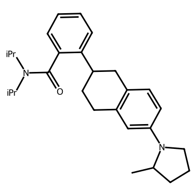 CC1CCCN1c1ccc2c(c1)CCC(c1ccccc1C(=O)N(C(C)C)C(C)C)C2